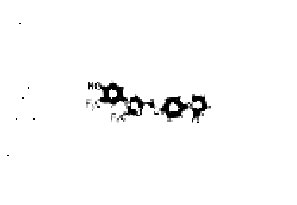 N#Cc1ccc(N2C[C@@H](COc3ccc(N4CCCC4=O)cc3)O[C@@H]2C(F)(F)F)cc1C(F)(F)F